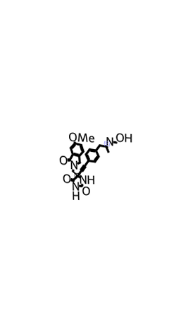 COc1ccc2c(c1)C(=O)N(C[C@@]1(C#Cc3ccc(C/C(C)=N/CO)cc3)NC(=O)NC1=O)C2